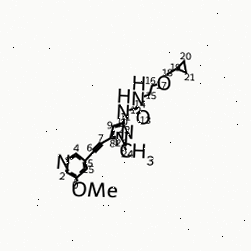 COc1cncc(C#Cc2cc(NC(=O)NCCOCC3CC3)nn2C)c1